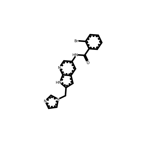 O=C(Nc1cnc2[nH]c(Cn3ccnc3)cc2c1)c1ccccc1Br